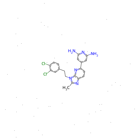 Cc1nc2ccc(-c3cc(N)nc(N)c3)nc2n1CCc1ccc(Cl)c(Cl)c1